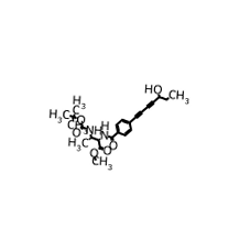 CCC(O)C#CC#Cc1ccc(C(=O)N[C@H](C(=O)OC)[C@@H](C)NC(=O)OC(C)(C)C)cc1